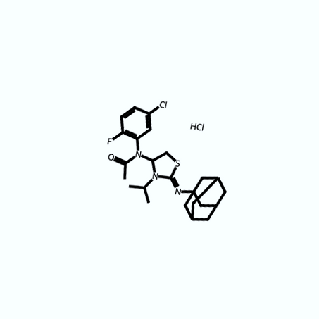 CC(=O)N(c1cc(Cl)ccc1F)C1CSC(=NC23CC4CC(CC(C4)C2)C3)N1C(C)C.Cl